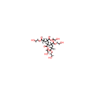 CCC(C)(CC(C)(CC(C)(CC(C)(CC(C)(C)C(=O)OCCO)C(=O)OCCO)C(=O)OCCO)C(=O)OCCO)C(=O)OCCO